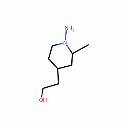 CC1CC(CCO)CCN1N